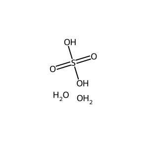 O.O.O=S(=O)(O)O